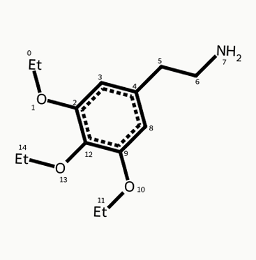 CCOc1cc(CCN)cc(OCC)c1OCC